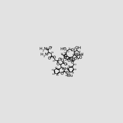 CC(=O)O[C@@]12CO[C@@H]1C[C@H](O)[C@@]1(C)OC[C@H](O)C3=C(C)[C@@H](OC(=O)[C@H](OC(=O)COC(=O)C[C@H](N)C(N)=O)[C@@H](NC(=O)OC(C)(C)C)c4ccccc4)C[C@@](O)([C@@H](OOCc4ccccc4)[C@@H]12)C3(C)C